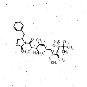 C=C[C@H](OC)[C@@H](O[Si](C)(C)C(C)(C)C)[C@H](C)/C=C(/C)C(C)[C@H](C)C(=O)N1C(=O)OC[C@H]1Cc1ccccc1